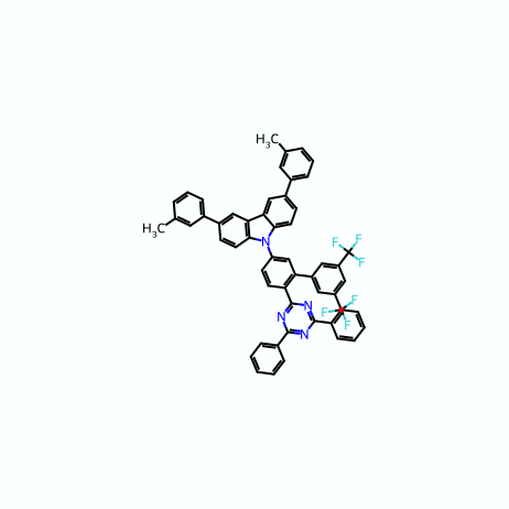 Cc1cccc(-c2ccc3c(c2)c2cc(-c4cccc(C)c4)ccc2n3-c2ccc(-c3nc(-c4ccccc4)nc(-c4ccccc4)n3)c(-c3cc(C(F)(F)F)cc(C(F)(F)F)c3)c2)c1